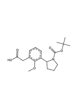 COc1c(CC(=O)O)cccc1C1CCCN1C(=O)OC(C)(C)C